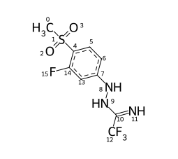 CS(=O)(=O)c1ccc(NNC(=N)C(F)(F)F)cc1F